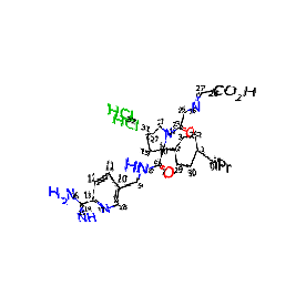 CC(C)C1CCC([C@@]2(C(=O)NCc3ccc(C(=N)N)nc3)CCCN2C(=O)CN=CC(=O)O)CC1.Cl.Cl